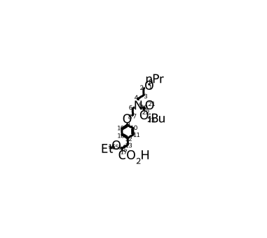 CCCOCCCN(CCOc1ccc(CC(OCC)C(=O)O)cc1)C(=O)OC(C)CC